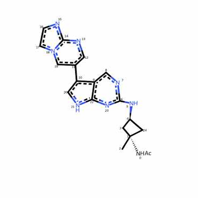 CC(=O)N[C@]1(C)C[C@@H](Nc2ncc3c(-c4cnc5nccn5c4)c[nH]c3n2)C1